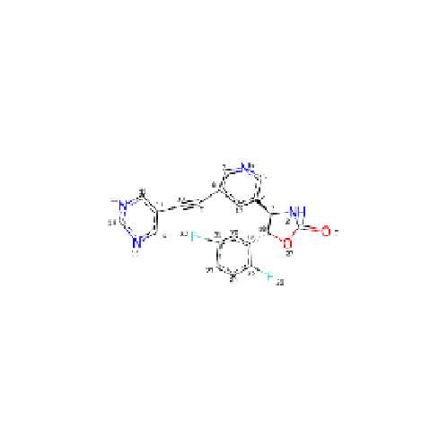 O=C1N[C@H](c2cncc(C#Cc3cncnc3)c2)[C@@H](c2cc(F)ccc2F)O1